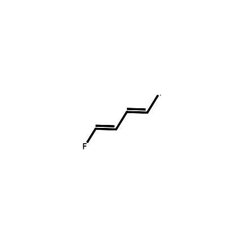 [CH2]C=CC=CF